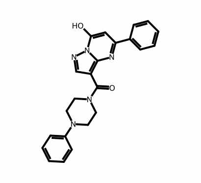 O=C(c1cnn2c(O)cc(-c3ccccc3)nc12)N1CCN(c2ccccc2)CC1